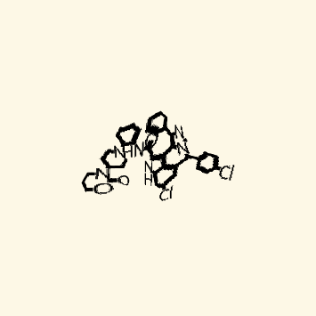 O=C(Nc1ccccc1N1CCC(N2CCCOC2=O)CC1)c1[nH]c2cc(Cl)cc3c2c1-c1c(-c2ccccc2)ncn1C3c1ccc(Cl)cc1